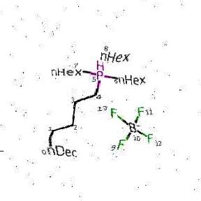 CCCCCCCCCCCCCC[PH](CCCCCC)(CCCCCC)CCCCCC.F[B-](F)(F)F